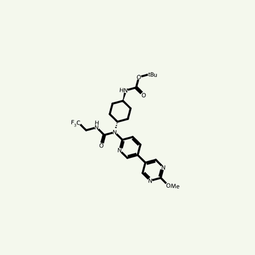 COc1ncc(-c2ccc(N(C(=O)NCC(F)(F)F)[C@H]3CC[C@H](NC(=O)OC(C)(C)C)CC3)nc2)cn1